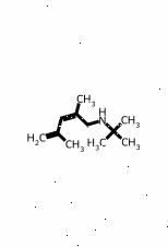 C=C(C)C=C(C)[CH]NC(C)(C)C